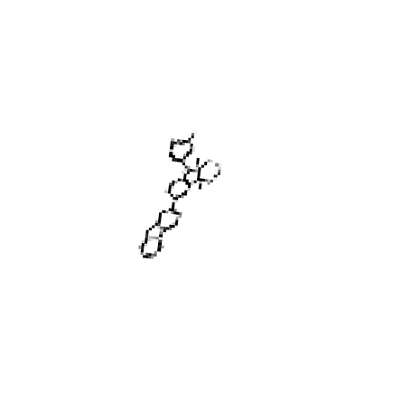 Cc1cc(N2c3ccc(-c4ccc5c(c4)Cc4ccccc4-5)cc3C3(C)CCCCC23C)ccn1